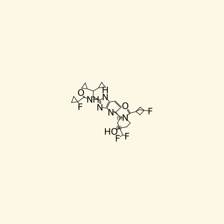 O=C(NC(c1nc2nc([C@@H]3C[C@@](O)(C(F)F)CCN3C(=O)C34CC(F)(C3)C4)ccc2[nH]1)C(C1CC1)C1CC1)C1(F)CC1